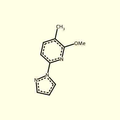 COc1nc(-n2cccn2)ccc1C